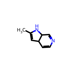 CC1=CC2C=CN=CC2N1